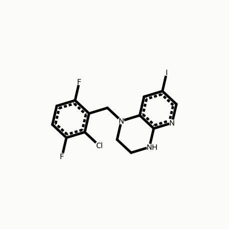 Fc1ccc(F)c(CN2CCNc3ncc(I)cc32)c1Cl